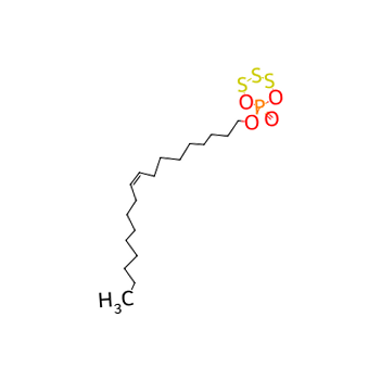 CCCCCCCC/C=C\CCCCCCCCOP1(=O)OSSSO1